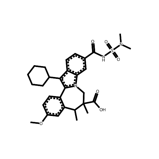 COc1ccc2c(c1)C(C)C(C)(C(=O)O)Cn1c-2c(C2CCCCC2)c2ccc(C(=O)NS(=O)(=O)N(C)C)cc21